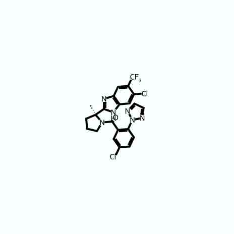 C[C@@]1(c2nc3cc(C(F)(F)F)c(Cl)cc3[nH]2)CCCN1C(=O)c1cc(Cl)ccc1-n1nccn1